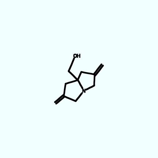 C=C1CN2CC(=C)CC2(CO)C1